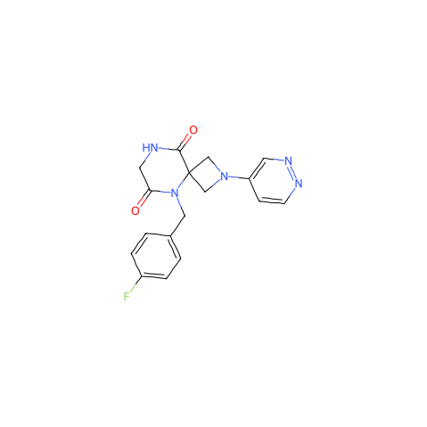 O=C1CNC(=O)C2(CN(c3ccnnc3)C2)N1Cc1ccc(F)cc1